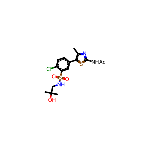 CC(=O)Nc1nc(C)c(-c2ccc(Cl)c(S(=O)(=O)NCC(C)(C)O)c2)s1